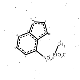 CCOC(C)=O.O=[N+]([O-])c1cccc2occc12